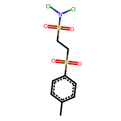 Cc1ccc(S(=O)(=O)CCS(=O)(=O)N(Cl)Cl)cc1